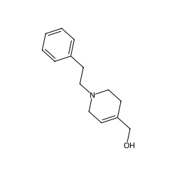 OCC1=CCN(CCc2ccccc2)CC1